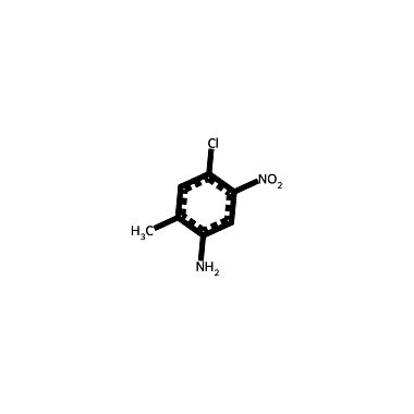 Cc1cc(Cl)c([N+](=O)[O-])cc1N